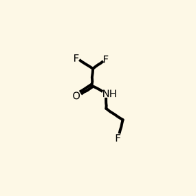 O=C(NCCF)C(F)F